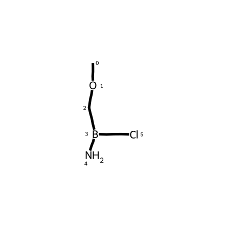 COCB(N)Cl